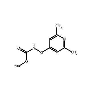 Cc1cc(ONC(=O)OC(C)(C)C)cc(C)n1